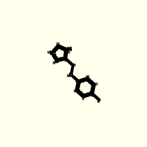 Cc1ccc(OCc2nnc[nH]2)cc1